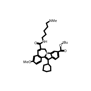 CNCCCCCNC(=O)C1=Cc2cc(OC)ccc2-c2c(C3CCCCC3)c3ccc(C(=O)OC(C)(C)C)cc3n2C1